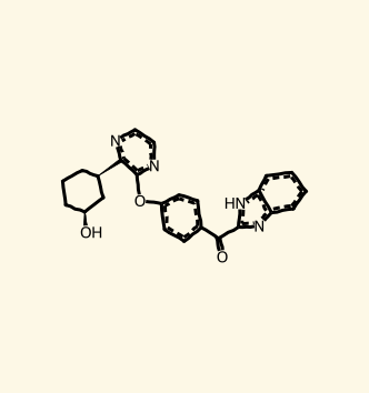 O=C(c1ccc(Oc2nccnc2[C@@H]2CCC[C@H](O)C2)cc1)c1nc2ccccc2[nH]1